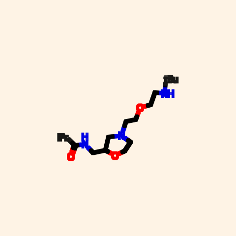 CC(C)C(=O)NCC1CN(CCOCCNC(C)(C)C)CCO1